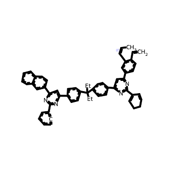 C=Cc1ccc(-c2cc(-c3ccc(C(CC)(CC)c4ccc(-c5cc(-c6ccc7ccccc7c6)nc(-c6ccccc6)n5)cc4)cc3)nc(C3=CCCC=C3)n2)cc1/C=C\C